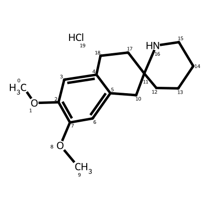 COc1cc2c(cc1OC)CC1(CCCCN1)CC2.Cl